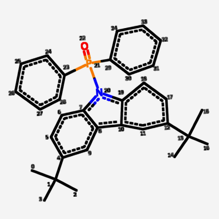 CC(C)(C)c1ccc2c(c1)c1cc(C(C)(C)C)ccc1n2P(=O)(c1ccccc1)c1ccccc1